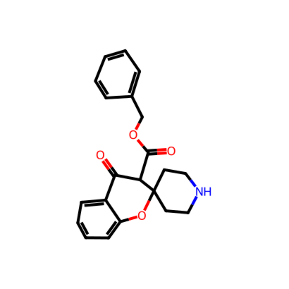 O=C(OCc1ccccc1)C1C(=O)c2ccccc2OC12CCNCC2